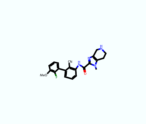 COc1cccc(-c2cccc(NC(=O)c3nc4c(n3C)CCNC4)c2C#N)c1F